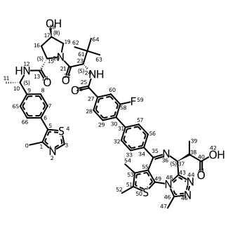 Cc1ncsc1-c1ccc([C@H](C)NC(=O)[C@@H]2C[C@@H](O)CN2C(=O)[C@@H](NC(=O)c2ccc(-c3ccc(C4=N[C@@H](C(C)C(=O)O)c5nnc(C)n5-c5sc(C)c(C)c54)cc3)c(F)c2)C(C)(C)C)cc1